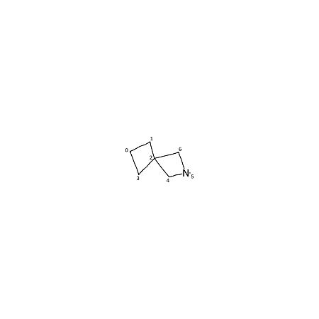 C1CC2(C1)C[N]C2